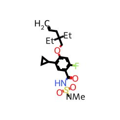 C=CCC(CC)(CC)COc1cc(F)c(C(=O)NS(=O)(=O)NC)cc1C1CC1